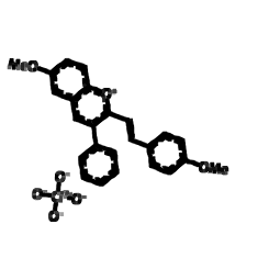 COc1ccc(C=Cc2[o+]c3ccc(OC)cc3cc2-c2ccccc2)cc1.[O-][Cl+3]([O-])([O-])[O-]